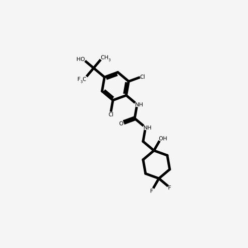 CC(O)(c1cc(Cl)c(NC(=O)NCC2(O)CCC(F)(F)CC2)c(Cl)c1)C(F)(F)F